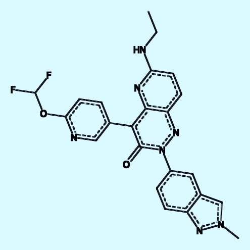 CCNc1ccc2nn(-c3ccc4nn(C)cc4c3)c(=O)c(-c3ccc(OC(F)F)nc3)c2n1